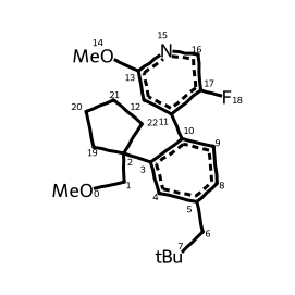 COCC1(c2cc(CC(C)(C)C)ccc2-c2cc(OC)ncc2F)CCCC1